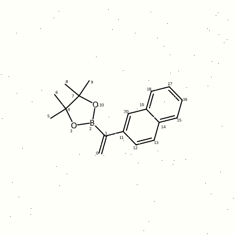 C=C(B1OC(C)(C)C(C)(C)O1)c1ccc2ccccc2c1